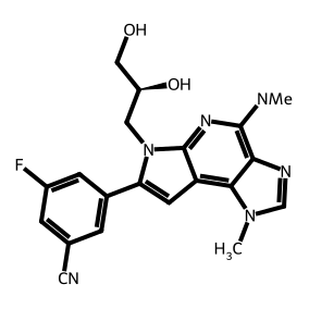 CNc1nc2c(cc(-c3cc(F)cc(C#N)c3)n2C[C@H](O)CO)c2c1ncn2C